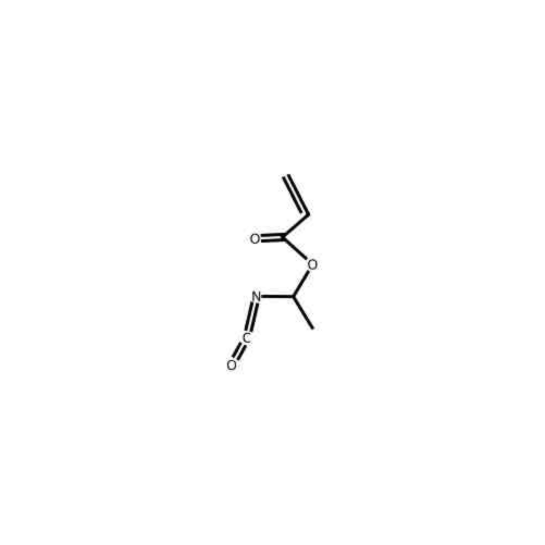 C=CC(=O)OC(C)N=C=O